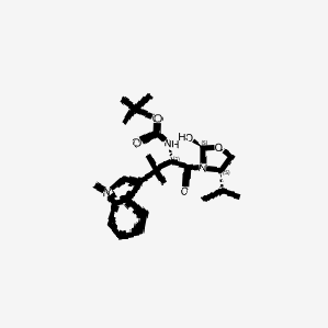 CC(C)[C@H]1CO[C@H](O)N1C(=O)[C@@H](NC(=O)OC(C)(C)C)C(C)(C)c1cn(C)c2ccccc12